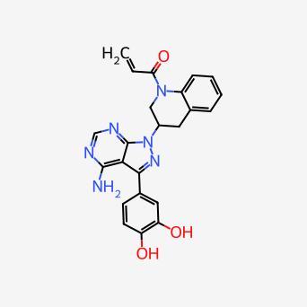 C=CC(=O)N1CC(n2nc(-c3ccc(O)c(O)c3)c3c(N)ncnc32)Cc2ccccc21